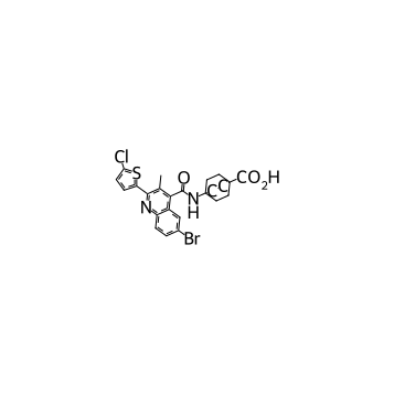 Cc1c(-c2ccc(Cl)s2)nc2ccc(Br)cc2c1C(=O)NC12CCC(C(=O)O)(CC1)CC2